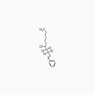 CCCCCCC(Cl)C(Cl)(Cl)C(Cl)(Cl)SSc1ccccc1